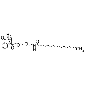 CCCCCCCCCCCCCCCC(=O)NCCOCCOCC(=O)Nc1ccccc1C(N)=O